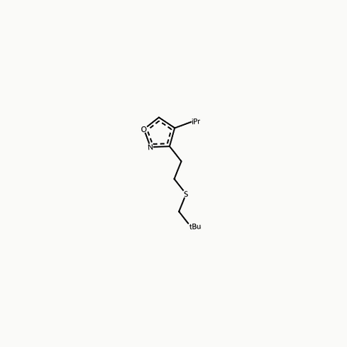 CC(C)c1conc1CCSCC(C)(C)C